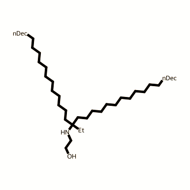 CCCCCCCCCCCCCCCCCCCCCCC(CC)(CCCCCCCCCCCCCCCCCCCCCC)NCCO